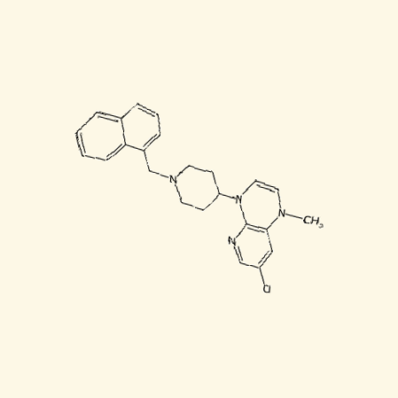 CN1C=CN(C2CCN(Cc3cccc4ccccc34)CC2)c2ncc(Cl)cc21